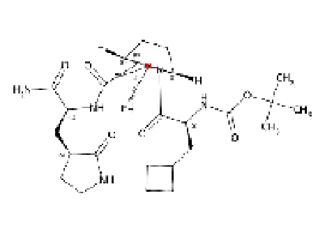 CC(C)(C)OC(=O)N[C@@H](CC1CCC1)C(=O)N1[C@H]2CC[C@@H]([C@@H]1C(=O)N[C@@H](C[C@@H]1CCNC1=O)C(N)=O)C(F)(F)C2